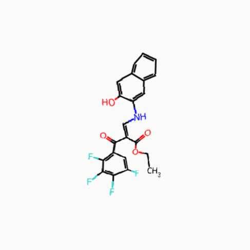 CCOC(=O)/C(=C\Nc1cc2ccccc2cc1O)C(=O)c1cc(F)c(F)c(F)c1F